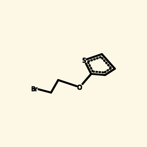 BrCCOc1cccs1